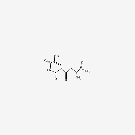 Cc1cn(C(=O)CC(N)C(N)=O)c(=O)[nH]c1=O